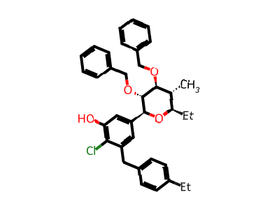 CCc1ccc(Cc2cc([C@@H]3O[C@H](CC)[C@@H](C)[C@H](OCc4ccccc4)[C@H]3OCc3ccccc3)cc(O)c2Cl)cc1